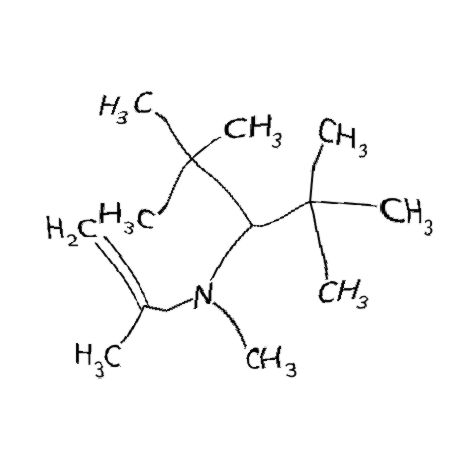 C=C(C)N(C)C(C(C)(C)C)C(C)(C)C